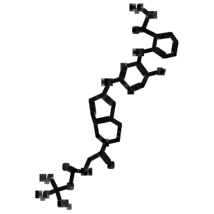 CNC(=O)c1ccccc1Nc1nc(Nc2ccc3c(c2)CCN(C(=O)CNC(=O)OC(C)(C)C)C3)ncc1Br